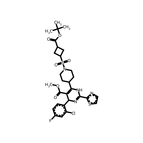 COC(=O)C1=C(C2CCN(S(=O)(=O)C3CC(C(=O)OC(C)(C)C)C3)CC2)NC(c2nccs2)=NC1c1ccc(F)cc1Cl